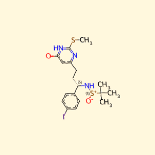 CSc1nc(CC[C@H](N[S@+]([O-])C(C)(C)C)c2ccc(I)cc2)cc(=O)[nH]1